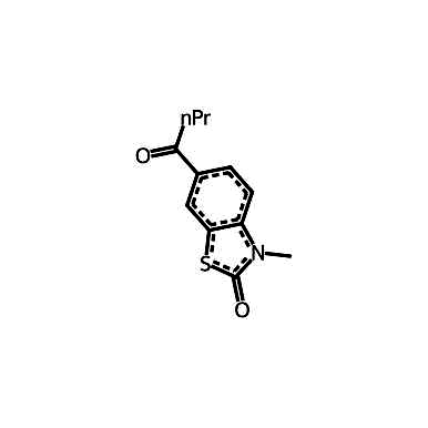 CCCC(=O)c1ccc2c(c1)sc(=O)n2C